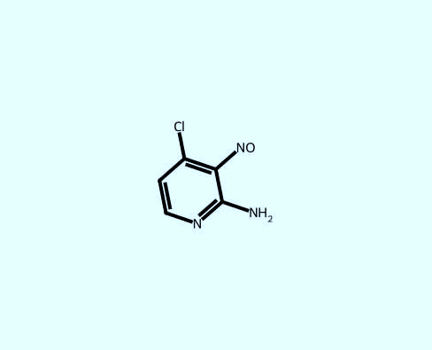 Nc1nccc(Cl)c1N=O